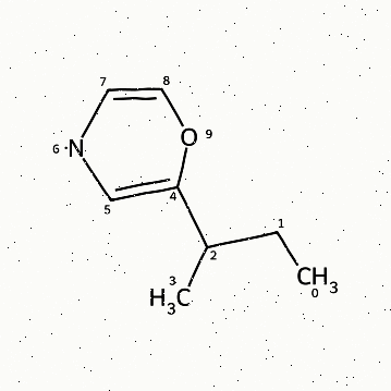 CCC(C)C1=C[N]C=CO1